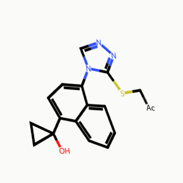 CC(=O)CSc1nncn1-c1ccc(C2(O)CC2)c2ccccc12